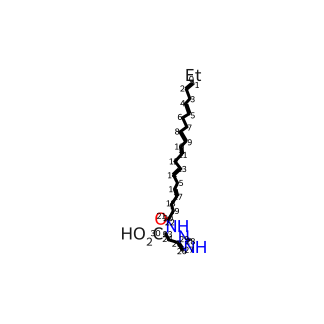 CCC=CCC=CCCC=CC=CCC=CCC=CCCC(=O)NC(Cc1c[nH]cn1)C(=O)O